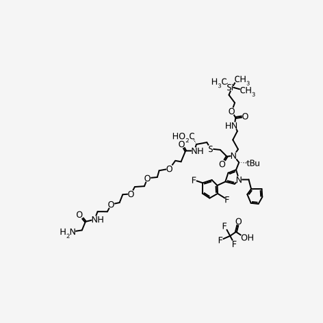 CC(C)(C)[C@H](c1cc(-c2cc(F)ccc2F)cn1Cc1ccccc1)N(CCCNC(=O)OCC[Si](C)(C)C)C(=O)CSC[C@H](NC(=O)CCOCCOCCOCCOCCNC(=O)CN)C(=O)O.O=C(O)C(F)(F)F